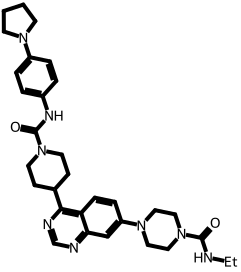 CCNC(=O)N1CCN(c2ccc3c(C4CCN(C(=O)Nc5ccc(N6CCCC6)cc5)CC4)ncnc3c2)CC1